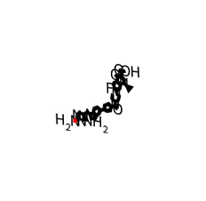 Nc1ncc(CN2CCc3cc(-c4ccc(C(=O)N5CCN(c6cc7c(cc6F)c(=O)c(C(=O)O)cn7C6CC6)CC5)cc4)ccc32)c(N)n1